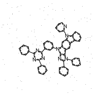 c1ccc(-c2nc(-c3ccccc3)nc(-c3cccc(-n4c5cc6c(cc5c5c4nc(-c4ccccc4)n5-c4ccccc4)c4ccccc4n6-c4ccccn4)c3)n2)cc1